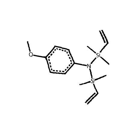 C=C[Si](C)(C)N(c1ccc(OC)cc1)[Si](C)(C)C=C